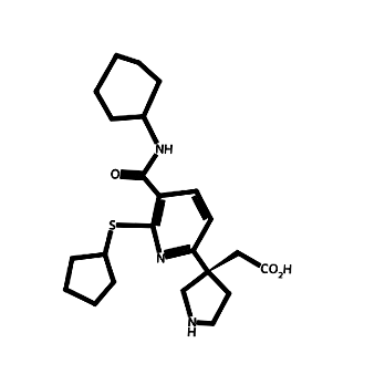 O=C(O)C[C@@]1(c2ccc(C(=O)NC3CCCCC3)c(SC3CCCC3)n2)CCNC1